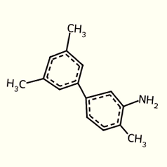 Cc1cc(C)cc(-c2ccc(C)c(N)c2)c1